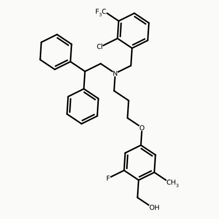 Cc1cc(OCCCN(Cc2cccc(C(F)(F)F)c2Cl)CC(C2=CCCC=C2)c2ccccc2)cc(F)c1CO